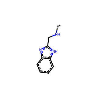 CC(C)NCc1nc2ccccc2[nH]1